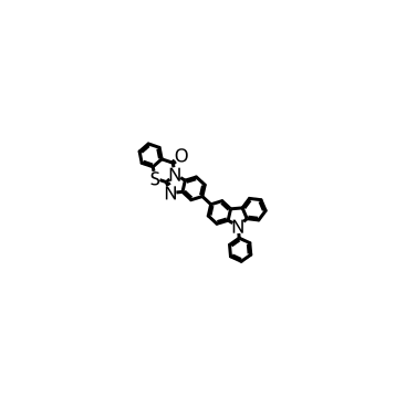 O=c1c2ccccc2sc2nc3cc(-c4ccc5c(c4)c4ccccc4n5-c4ccccc4)ccc3n12